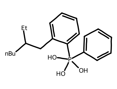 CCCCC(CC)Cc1ccccc1P(O)(O)(O)c1ccccc1